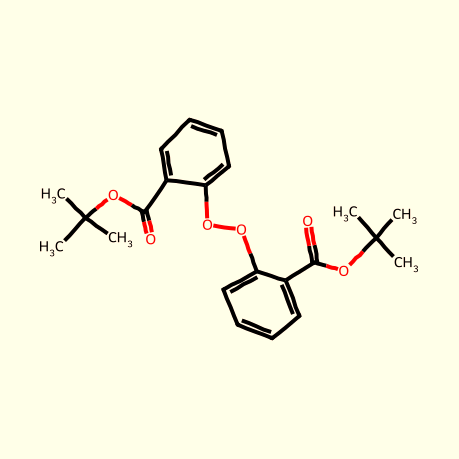 CC(C)(C)OC(=O)c1ccccc1OOc1ccccc1C(=O)OC(C)(C)C